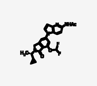 CC(=O)Nc1ccc2c(ccn2-c2cc3c(c(OC(F)F)c2)C(=O)N([C@@H](C)C2CC2)C3)n1